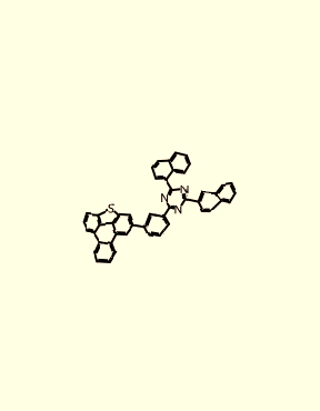 c1cc(-c2cc3sc4cccc5c6ccccc6c(c2)c3c45)cc(-c2nc(-c3ccc4ccccc4c3)nc(-c3cccc4ccccc34)n2)c1